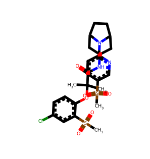 CC(C)(Oc1ccc(Cl)cc1S(C)(=O)=O)C(=O)NC1CC2CCC(C1)N2c1ccc(S(C)(=O)=O)cn1